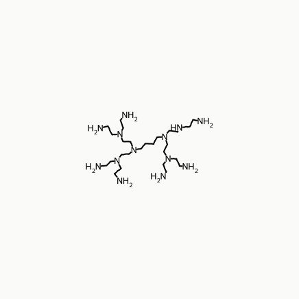 NCCNCCN(CCCCN(CCN(CCN)CCN)CCN(CCN)CCN)CCN(CCN)CCN